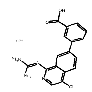 NC(N)=Nc1ncc(Cl)c2ccc(-c3cccc(C(=O)O)c3)cc12.[LiH]